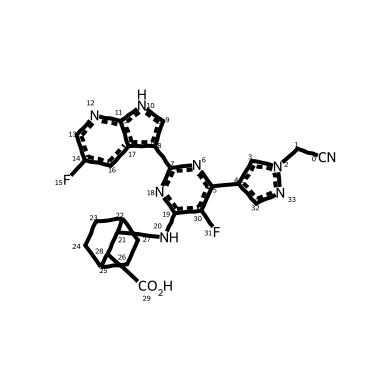 N#CCn1cc(-c2nc(-c3c[nH]c4ncc(F)cc34)nc(NC3C4CCC(CC4)C3C(=O)O)c2F)cn1